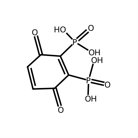 O=C1C=CC(=O)C(P(=O)(O)O)=C1P(=O)(O)O